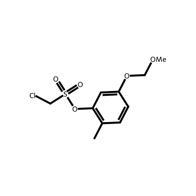 COCOc1ccc(C)c(OS(=O)(=O)CCl)c1